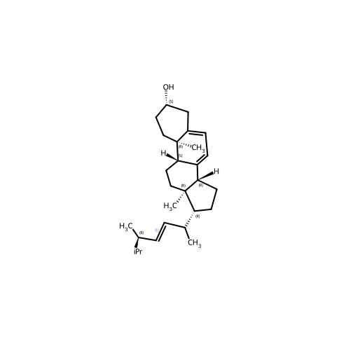 CC(/C=C/[C@H](C)C(C)C)[C@H]1CC[C@H]2C3=CC=C4C[C@@H](O)CC[C@]4(C)[C@H]3CC[C@]12C